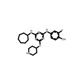 Oc1ccc(Nc2nc(NC3CCCCCC3)nc(OC3CCNCC3)n2)cc1F